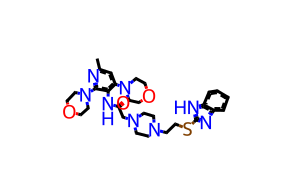 Cc1cc(N2CCOCC2)c(NC(=O)CN2CCN(CCSc3nc4ccccc4[nH]3)CC2)c(N2CCOCC2)n1